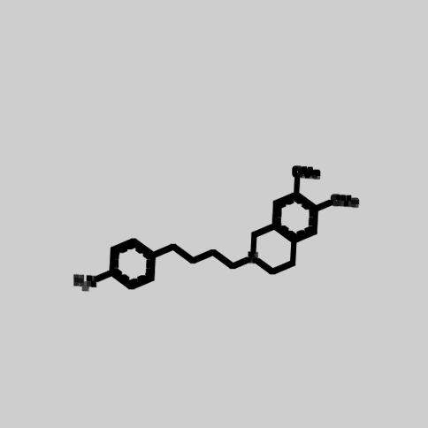 COc1cc2c(cc1OC)CN(CCCCc1ccc(N)cc1)CC2